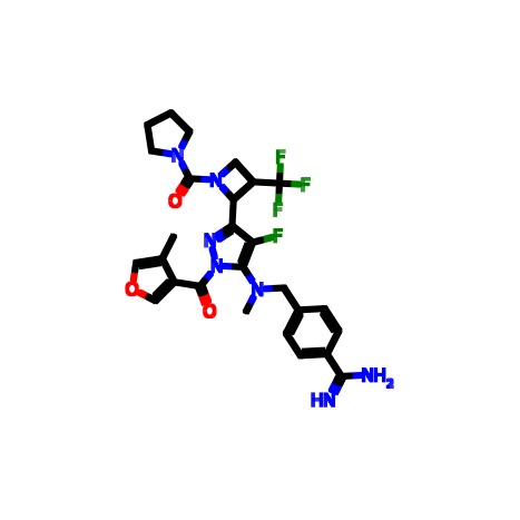 Cc1cocc1C(=O)n1nc(C2C(C(F)(F)F)CN2C(=O)N2CCCC2)c(F)c1N(C)Cc1ccc(C(=N)N)cc1